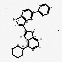 c1ccc(-c2ccc3[nH]nc(-c4nc5c(N6CCCCC6)ccnc5[nH]4)c3c2)nc1